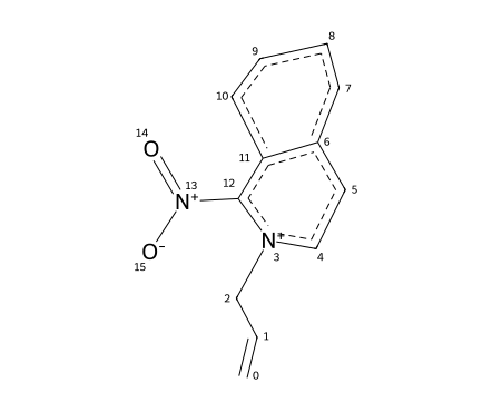 C=CC[n+]1ccc2ccccc2c1[N+](=O)[O-]